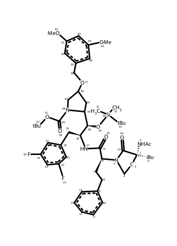 CC[C@@H](C)[C@@]1(NC(C)=O)CCN([C@@H](CCc2ccccc2)C(=O)N[C@@H](Cc2cc(F)cc(F)c2)[C@H](O[Si](C)(C)C(C)(C)C)C2CC(OCc3cc(OC)cc(OC)c3)CN2C(=O)OC(C)(C)C)C1=O